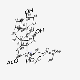 CC(=O)O[C@@H]1C[C@]2(C)C(C[C@H](O)[C@@H]3[C@]4(C)CC[C@H](O)[C@H](C)[C@H]4CC[C@]32C)/C1=C(\CCC=C(C)C)C(=O)O